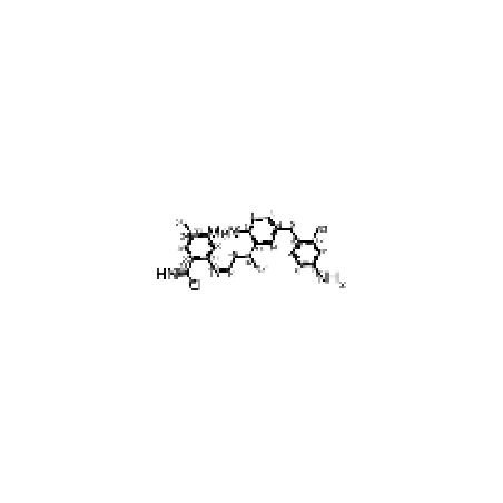 CNc1ccc(Cc2ccc(N)cc2C)cc1C(C)C/C=N\c1ccc(C)cc1C(=N)Cl